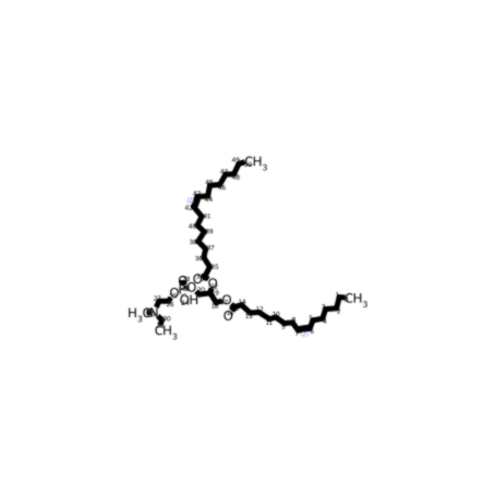 CCCCCC/C=C\CCCCCCCC(=O)OCC(COP(=O)(O)OCCN(C)CC)OC(=O)CCCCCCC/C=C\CCCCCCC